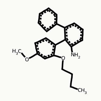 CCCCOc1cc(OC)ccc1-c1c(N)cccc1-c1ccccc1